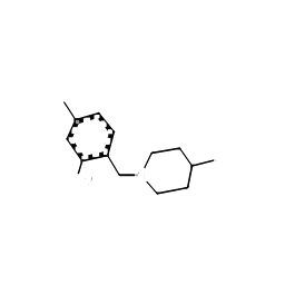 COc1cc(Br)ccc1CN1CCC(O)CC1